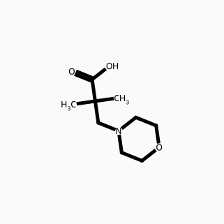 CC(C)(CN1CCOCC1)C(=O)O